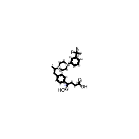 CC(Cc1ccc(/C(CCC(=O)O)=N\O)cc1)N1CCN(c2cccc(C(F)(F)F)c2)CC1